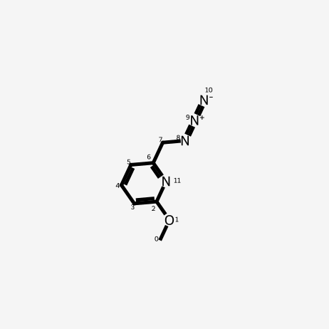 COc1cccc(CN=[N+]=[N-])n1